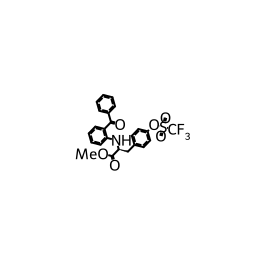 COC(=O)[C@H](Cc1ccc(OS(=O)(=O)C(F)(F)F)cc1)Nc1ccccc1C(=O)c1ccccc1